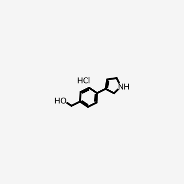 Cl.OCc1ccc(C2=CCNC2)cc1